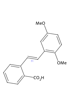 COc1ccc(OC)c(/C=C/c2ccccc2C(=O)O)c1